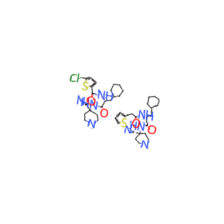 CN1CCC(C#N)(NC(=O)C(CC2CCCCC2)NC(=O)Cc2cccs2)CC1.CN1CCC(C#N)(NC(=O)C(CC2CCCCC2)NC(=O)c2ccc(Cl)s2)CC1